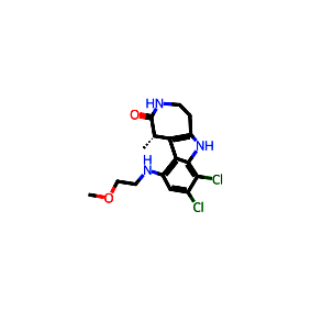 COCCNc1cc(Cl)c(Cl)c2[nH]c3c(c12)[C@H](C)C(=O)NCC3